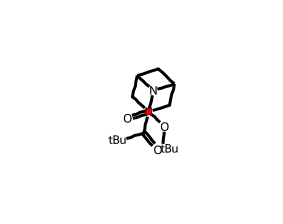 CC(C)(C)OC(=O)N1C2CC1CN(C(=O)C(C)(C)C)C2